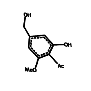 COc1cc(CO)cc(O)c1C(C)=O